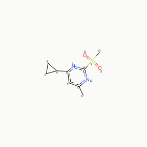 Cc1cc(C2CC2)nc(S(C)(=O)=O)n1